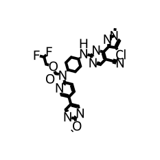 COc1ncc(-c2ccc(N(C(=O)OCC(F)F)[C@H]3CC[C@H](Nc4ncc(C#N)c(-c5nn(C)cc5Cl)n4)CC3)nc2)cn1